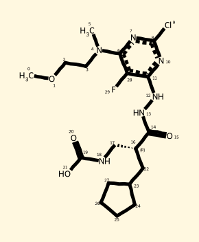 COCCN(C)c1nc(Cl)nc(NNC(=O)[C@@H](CNC(=O)O)CC2CCCC2)c1F